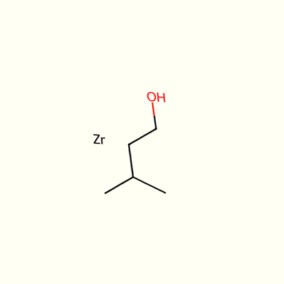 CC(C)CCO.[Zr]